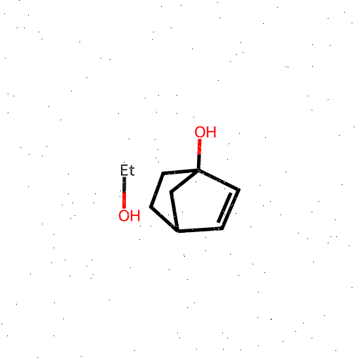 CCO.OC12C=CC(CC1)C2